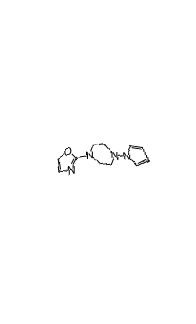 c1ccn(N2CCN(c3ncco3)CC2)c1